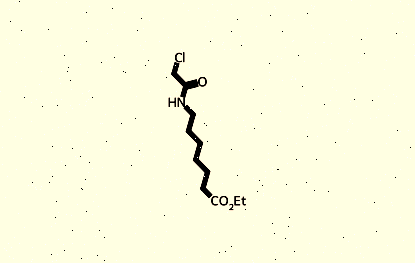 CCOC(=O)CCCCCCNC(=O)CCl